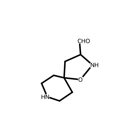 O=CC1CC2(CCNCC2)ON1